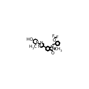 C[C@@H]1C[C@H](O)CCN1c1ncc(-c2ccc3c(=O)n(C)n(Cc4ccccc4OC(F)F)c3c2)cn1